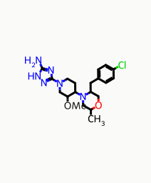 COC1CN(c2n[nH]c(N)n2)CCC1N1CC(C)OCC1Cc1ccc(Cl)cc1